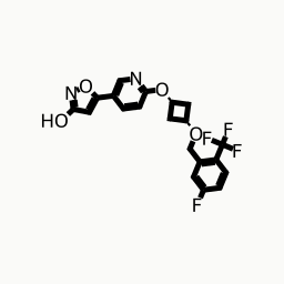 Oc1cc(-c2ccc(O[C@H]3C[C@@H](OCc4cc(F)ccc4C(F)(F)F)C3)nc2)on1